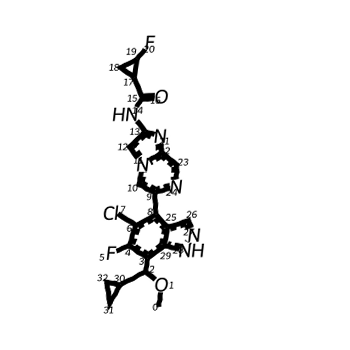 COC(c1c(F)c(Cl)c(-c2cn3cc(NC(=O)C4CC4F)nc3cn2)c2cn[nH]c12)C1CC1